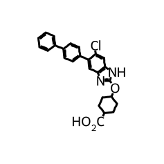 O=C(O)C1CCC(Oc2nc3cc(-c4ccc(-c5ccccc5)cc4)c(Cl)cc3[nH]2)CC1